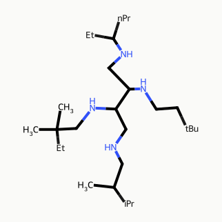 CCCC(CC)NCC(NCCC(C)(C)C)[C](CNCC(C)C(C)C)NCC(C)(C)CC